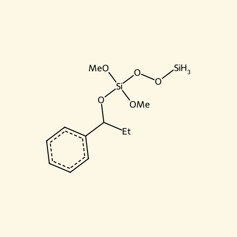 CCC(O[Si](OC)(OC)OO[SiH3])c1ccccc1